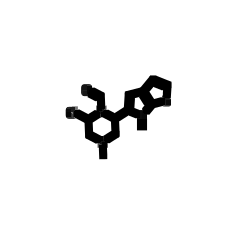 CN1CC(Cl)N(C=O)C(c2cc3ccsc3[nH]2)C1